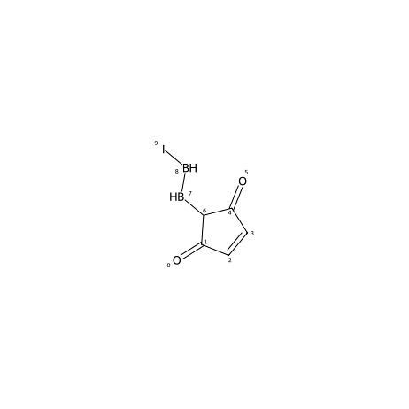 O=C1C=CC(=O)C1BBI